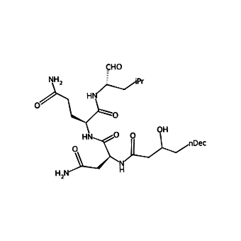 CCCCCCCCCCCC(O)CC(=O)N[C@@H](CC(N)=O)C(=O)N[C@@H](CCC(N)=O)C(=O)N[C@H](C=O)CC(C)C